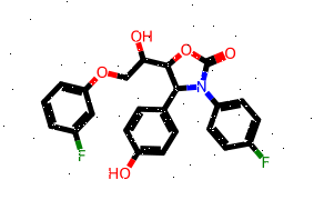 O=C1OC(C(O)COc2cccc(F)c2)C(c2ccc(O)cc2)N1c1ccc(F)cc1